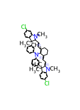 CN1/C(=C/C=C2\CCCC(/C=C/C3=[N+](C)c4cc(Cl)ccc4C3(C)C)=C2N(c2ccccc2)c2ccccc2)C(C)(C)c2ccc(Cl)cc21